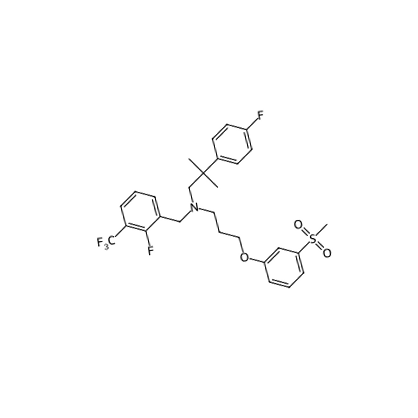 CC(C)(CN(CCCOc1cccc(S(C)(=O)=O)c1)Cc1cccc(C(F)(F)F)c1F)c1ccc(F)cc1